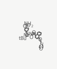 CC(C)(C)c1cc(NC(=O)C(=O)c2ccc(OCCN3CCOCC3)c3ccccc23)n(-c2ccc(S(N)(=O)=O)cc2)n1